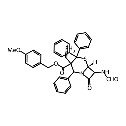 COc1ccc(COC(=O)C2(C=[PH3])C(c3ccccc3)N3C(=O)C(NC=O)[C@H]3SC2(c2ccccc2)c2ccccc2)cc1